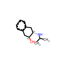 CC(C)N[C@H]1Cc2ccccc2C[C@@H]1O